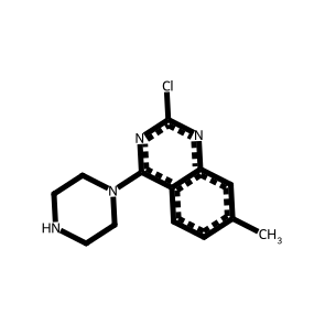 Cc1ccc2c(N3CCNCC3)nc(Cl)nc2c1